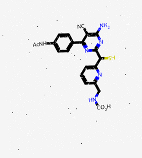 CC(=O)Nc1ccc(-c2nc(C(S)c3cccc(CNC(=O)O)n3)nc(N)c2C#N)cc1